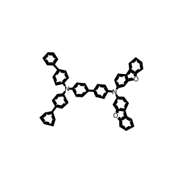 c1ccc(-c2ccc(N(c3ccc(-c4ccccc4)cc3)c3ccc(-c4ccc(N(c5ccc6c(c5)oc5ccccc56)c5ccc6c(c5)oc5ccccc56)cc4)cc3)cc2)cc1